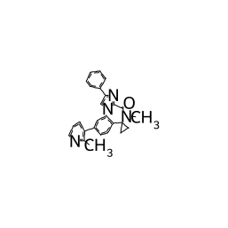 Cc1ncccc1-c1ccc2c(c1)-n1cc(-c3ccccc3)nc1C(=O)N(C)C21CC1